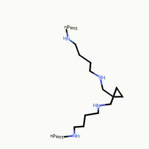 CCCCCNCCCCNCC1(CNCCCCNCCCCC)CC1